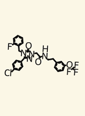 O=C(Cn1nc(-c2ccc(Cl)cc2)n(Cc2ccccc2F)c1=O)NCCc1cccc(OC(F)(F)F)c1